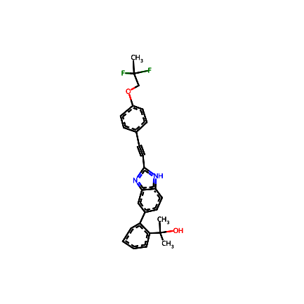 CC(F)(F)COc1ccc(C#Cc2nc3cc(-c4ccccc4C(C)(C)O)ccc3[nH]2)cc1